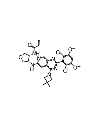 C=CC(=O)N[C@H]1COC[C@H]1Nc1cc2c(N3CC(C)(C)C3)nc(-c3c(Cl)c(OC)cc(OC)c3Cl)nc2cn1